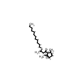 CCCCCCCCCCCCSC(C)CC(=O)C1C(C)C=CCC1(C)CC